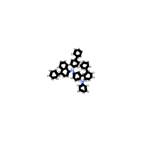 c1ccc(-c2ccc(N(c3ccc4c(c3)c3c(-c5ccccc5)cccc3n4-c3ccccc3)c3ccc(-c4ccccc4)c4ccccc34)cc2)cc1